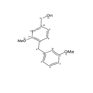 COc1cccc(Cc2ccc(CO)cc2OC)c1